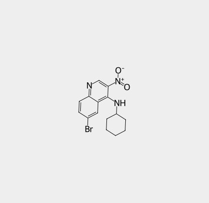 O=[N+]([O-])c1cnc2ccc(Br)cc2c1NC1CCCCC1